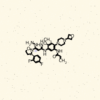 C=CC(=O)Nc1cc(NC(=N)/C=C(\NN)N2OCC[C@@H]2c2ccc(F)cc2F)c(OC)cc1N1CCN(C2COC2)CC1